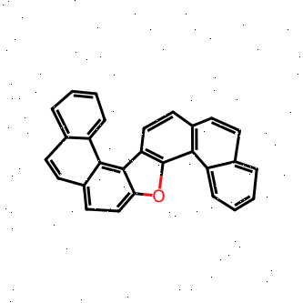 c1ccc2c(c1)ccc1ccc3c(oc4ccc5ccc6ccccc6c5c43)c12